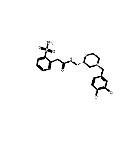 NS(=O)(=O)c1ccccc1CC(=O)NC[C@H]1CN(Cc2ccc(Cl)c(Cl)c2)CCO1